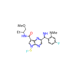 CCC(COC)NC(=O)c1cn(SF)c2ncc(C(=N)c3ccc(F)cc3NC)nc12